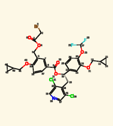 O=C(CBr)OCc1cc(C(=O)O[C@@H](Cc2c(Cl)cncc2Cl)c2ccc(OC(F)F)c(OCC3CC3)c2)ccc1OCC1CC1